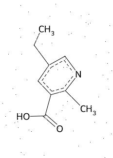 CCc1cnc(C)c(C(=O)O)c1